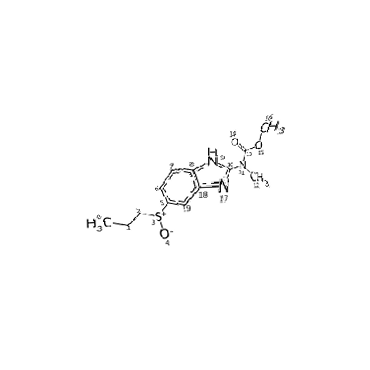 CCC[S+]([O-])c1ccc2[nH]c(N(C)C(=O)OC)nc2c1